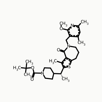 COc1nc(C)cc(C)c1CN1CCCc2sc([C@H](C)C3CCN(C(=O)OC(C)(C)C)CC3)c(C)c2C1=O